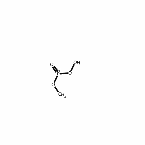 CO[PH](=O)OO